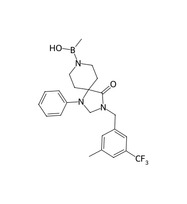 CB(O)N1CCC2(CC1)C(=O)N(Cc1cc(C)cc(C(F)(F)F)c1)CN2c1ccccc1